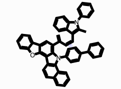 C=C(/C=C\c1c(C)n(-c2ccccc2)c2ccccc12)c1cc2c3ccccc3oc2c2c3ccc4ccccc4c3n(-c3ccc(-c4ccccc4)cc3)c12